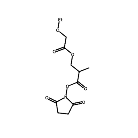 CCOCC(=O)OCC(C)C(=O)ON1C(=O)CCC1=O